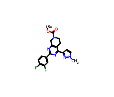 Cn1ccc(-c2nc(-c3ccc(F)c(F)c3)nc3c2CCN(C(=O)OC(C)(C)C)C3)n1